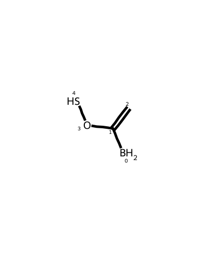 BC(=C)OS